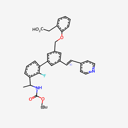 CC(NC(=O)OC(C)(C)C)c1cccc(-c2cc(/C=C/c3ccncc3)cc(COc3ccccc3CC(=O)O)c2)c1F